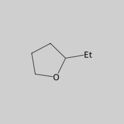 [CH2]CC1CCCO1